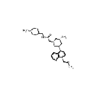 C/N=C/c1ccc([C@@H]2C[C@@H](C)CN(CC(=O)NCC3CCN(C)CC3)C2)c2cccnc12